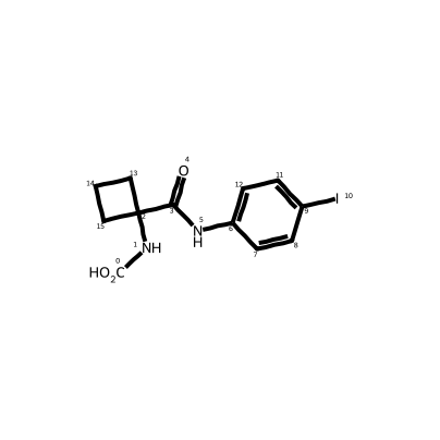 O=C(O)NC1(C(=O)Nc2ccc(I)cc2)CCC1